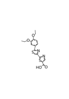 CCOc1ccc(-c2nc(-c3ncc(C(=O)O)s3)cs2)cc1OCC